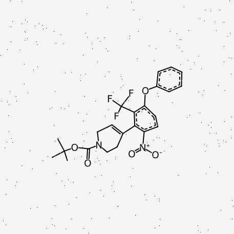 CC(C)(C)OC(=O)N1CC=C(c2c([N+](=O)[O-])ccc(Oc3ccccc3)c2C(F)(F)F)CC1